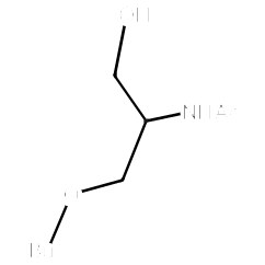 CCC(C)OCC(CO)NC(C)=O